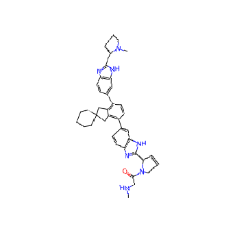 CNCC(=O)N1CC=CC1c1nc2ccc(-c3ccc(-c4ccc5nc(C6CCCN6C)[nH]c5c4)c4c3CC3(CCCCC3)C4)cc2[nH]1